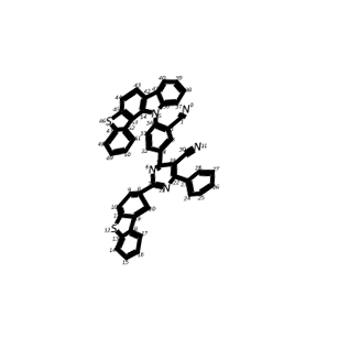 N#Cc1cc(-c2nc(-c3ccc4sc5ccccc5c4c3)nc(-c3ccccc3)c2C#N)ccc1-n1c2ccccc2c2ccc3sc4ccccc4c3c21